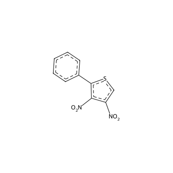 O=[N+]([O-])c1csc(-c2ccccc2)c1[N+](=O)[O-]